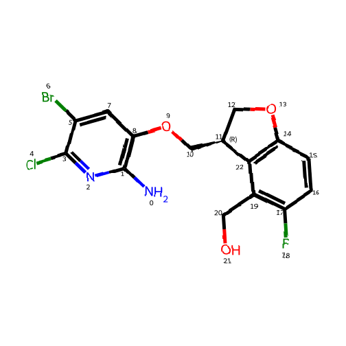 Nc1nc(Cl)c(Br)cc1OC[C@H]1COc2ccc(F)c(CO)c21